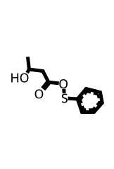 CC(O)CC(=O)OSc1ccccc1